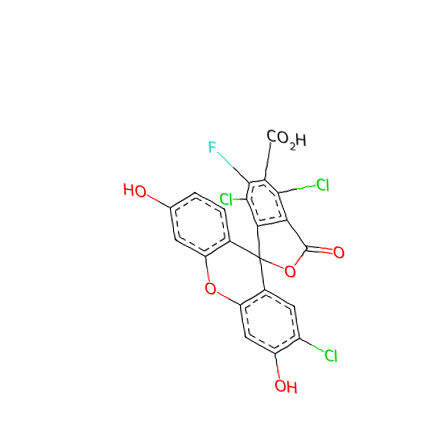 O=C(O)c1c(F)c(Cl)c2c(c1Cl)C(=O)OC21c2ccc(O)cc2Oc2cc(O)c(Cl)cc21